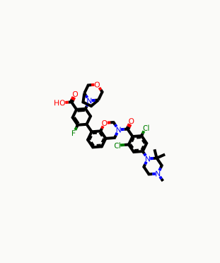 CN1CCN(c2cc(Cl)c(C(=O)N3COc4c(cccc4C4CC(N5C6CCC5COC6)=C(C(=O)O)C=C4F)C3)c(Cl)c2)C(C)(C)C1